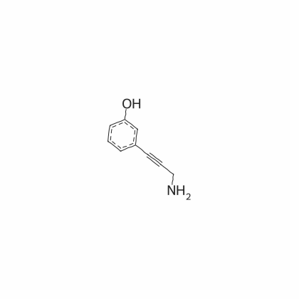 NCC#Cc1cccc(O)c1